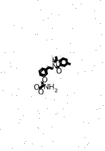 COC(=O)C(N)COc1cccc(CCNC(=O)[C@@H]2CC(C)CC[C@H]2C(C)C)c1